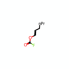 CCCCC=COC(=O)F